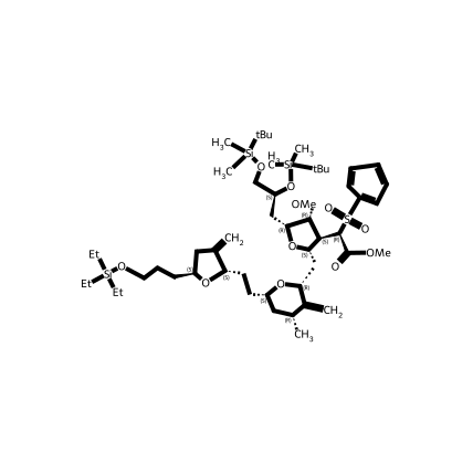 C=C1C[C@H](CCCO[Si](CC)(CC)CC)O[C@H]1CC[C@H]1C[C@@H](C)C(=C)[C@@H](C[C@@H]2O[C@H](C[C@@H](CO[Si](C)(C)C(C)(C)C)O[Si](C)(C)C(C)(C)C)[C@H](OC)[C@H]2[C@H](C(=O)OC)S(=O)(=O)c2ccccc2)O1